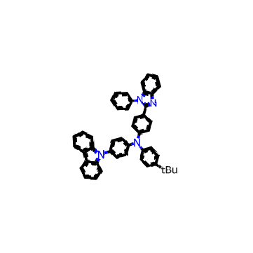 CC(C)(C)c1ccc(N(c2ccc(-c3nc4ccccc4n3-c3ccccc3)cc2)c2ccc(-n3c4ccccc4c4ccccc43)cc2)cc1